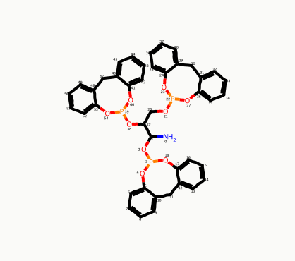 NC(OP1Oc2ccccc2Cc2ccccc2O1)C(COP1Oc2ccccc2Cc2ccccc2O1)OP1Oc2ccccc2Cc2ccccc2O1